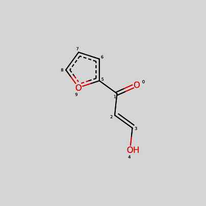 O=C(C=CO)c1ccco1